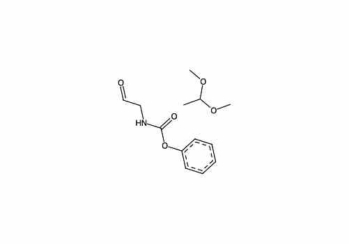 COC(C)OC.O=CCNC(=O)Oc1ccccc1